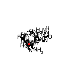 Nc1nc2c(ncn2[C@@H]2O[C@@H]3COP(=O)(O)O[C@H]4[C@H](n5cnc6c(N)ncnc65)O[C@H](COP(=O)(O)O[C@H]3[C@H]2F)[C@@]42CC2(F)F)c(=O)[nH]1